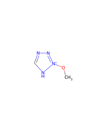 CO[n+]1nnc[nH]1